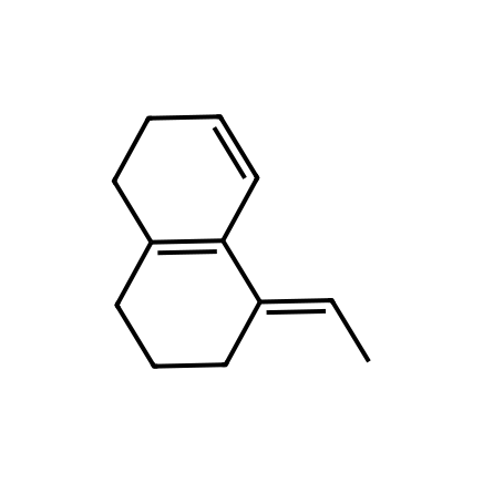 C/C=C1\CCCC2=C1C=CCC2